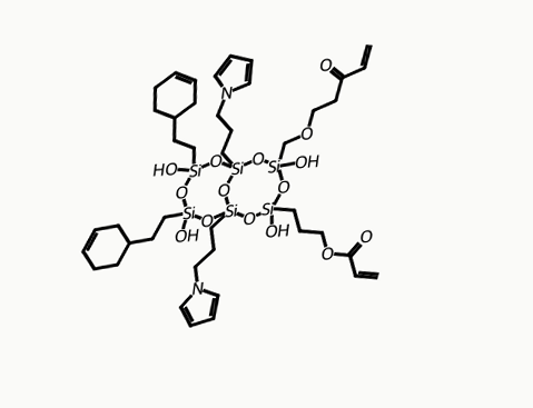 C=CC(=O)CCOC[Si]1(O)O[Si](O)(CCCOC(=O)C=C)O[Si]2(CCCn3cccc3)O[Si](O)(CCC3CC=CCC3)O[Si](O)(CCC3CC=CCC3)O[Si](CCCn3cccc3)(O1)O2